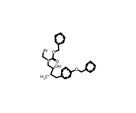 CC(C)CN(C[C@@H](O)[C@@H](C)Cc1ccc(OCc2ccccc2)cc1)C(=O)OCc1ccccc1